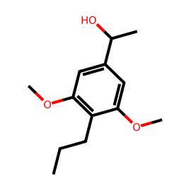 CCCc1c(OC)cc(C(C)O)cc1OC